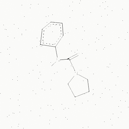 C[C@H]1CCN(C(=O)N(C)c2ccccc2)C1